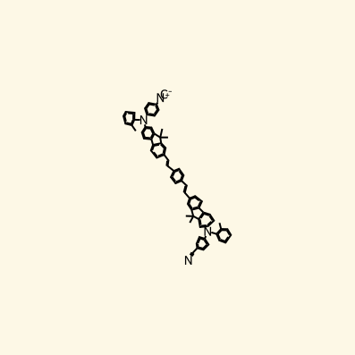 [C-]#[N+]c1ccc(N(c2ccc3c(c2)C(C)(C)c2cc(/C=C/c4ccc(/C=C/c5ccc6c(c5)C(C)(C)c5cc(N(c7ccc(C#N)cc7)c7ccccc7C)ccc5-6)cc4)ccc2-3)c2ccccc2C)cc1